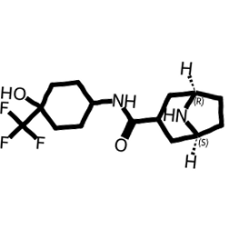 O=C(NC1CCC(O)(C(F)(F)F)CC1)C1C[C@H]2CC[C@@H](C1)N2